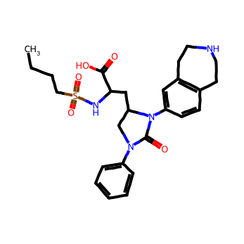 CCCCS(=O)(=O)NC(CC1CN(c2ccccc2)C(=O)N1c1ccc2c(c1)CCNCC2)C(=O)O